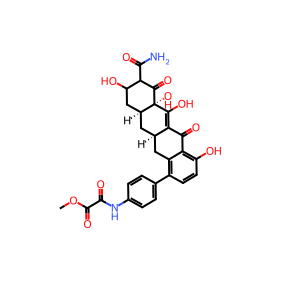 COC(=O)C(=O)Nc1ccc(-c2ccc(O)c3c2C[C@H]2C[C@H]4CC(O)C(C(N)=O)C(=O)[C@@]4(O)C(O)=C2C3=O)cc1